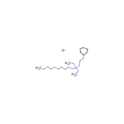 CCCCCCCCCC[N+](CC)(CC)CCCc1ccccc1.[Br-]